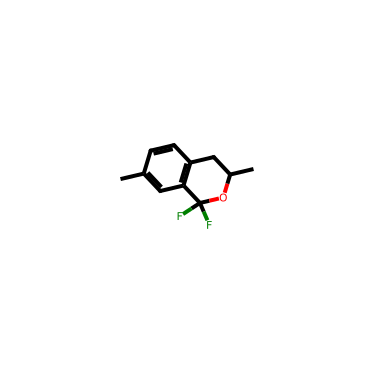 Cc1ccc2c(c1)C(F)(F)OC(C)C2